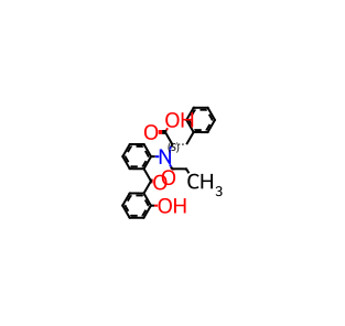 CCC(=O)N(c1ccccc1C(=O)c1ccccc1O)[C@@H](Cc1ccccc1)C(=O)O